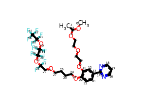 COC(C)OCCOCCOc1cc(-c2ncccn2)ccc1OCCCCOCC(F)(F)OC(F)(F)C(F)(F)OC(F)(F)C(F)(F)F